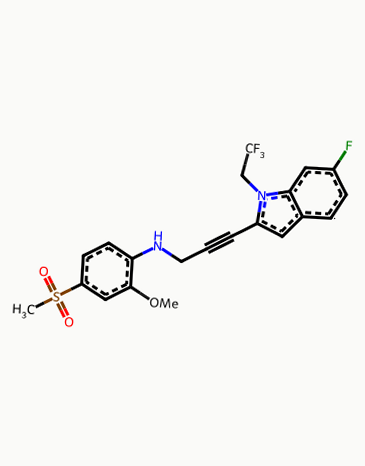 COc1cc(S(C)(=O)=O)ccc1NCC#Cc1cc2[c]cc(F)cc2n1CC(F)(F)F